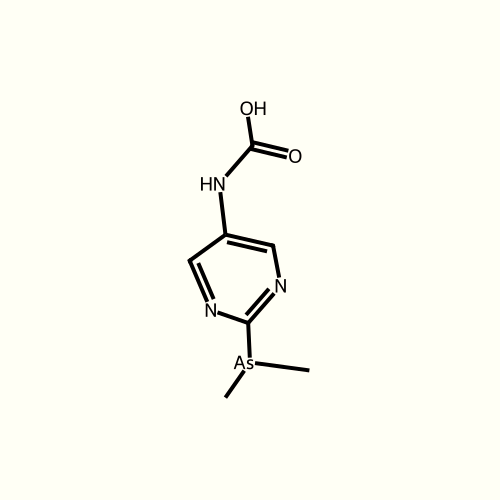 C[As](C)c1ncc(NC(=O)O)cn1